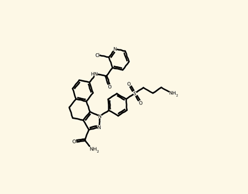 NCCCS(=O)(=O)c1ccc(-n2nc(C(N)=O)c3c2-c2cc(NC(=O)c4cccnc4Cl)ccc2CC3)cc1